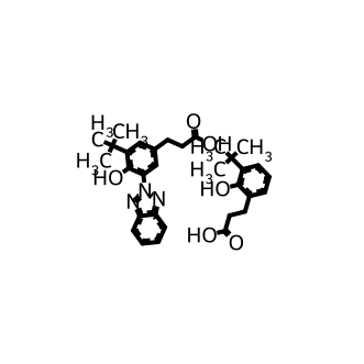 CC(C)(C)c1cc(CCC(=O)O)cc(-n2nc3ccccc3n2)c1O.CC(C)(C)c1cccc(CCC(=O)O)c1O